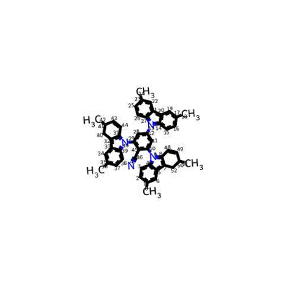 Cc1ccc2c(c1)c1c(n2-c2cc(-n3c4ccc(C)cc4c4cc(C)ccc43)cc(-n3c4c(c5cc(C)ccc53)CC(C)C=C4)c2C#N)C=CC(C)C1